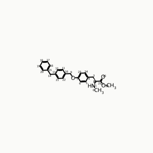 CN[C@@H](Cc1ccc(OCc2ccc(Cc3ccccc3)cc2)cc1)C(=O)OC